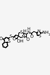 Nc1nc(CC(=O)NC2C(=O)N3CC(C=CSc4cc(=O)c5ccccc5s4)(C(=O)O)CS[C@H]23)cs1